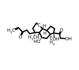 C=CC(=O)CC[C@@]1(C)CCC[C@@H]2[C@@H]1[C@@H](O)C[C@@]1(C)[C@H]2CC[C@]1(O)C(=O)CO